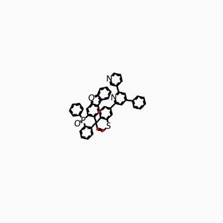 O=P1(c2ccccc2)c2ccccc2C2(c3ccccc3Sc3cc(-c4cc(-c5ccccc5)cc(-c5cccnc5)n4)ccc32)c2cc3c(cc21)oc1ccccc13